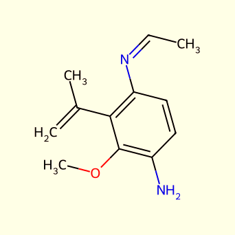 C=C(C)c1c(/N=C\C)ccc(N)c1OC